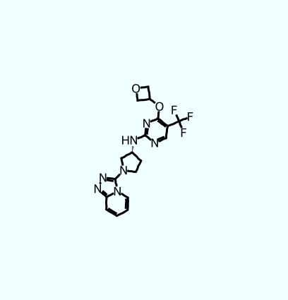 FC(F)(F)c1cnc(N[C@@H]2CCN(c3nnc4ccccn34)C2)nc1OC1COC1